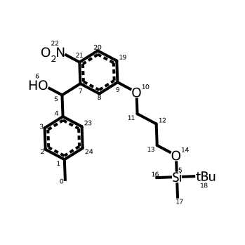 Cc1ccc(C(O)c2cc(OCCCO[Si](C)(C)C(C)(C)C)ccc2[N+](=O)[O-])cc1